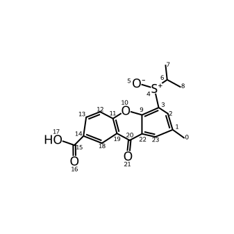 Cc1cc([S+]([O-])C(C)C)c2oc3ccc(C(=O)O)cc3c(=O)c2c1